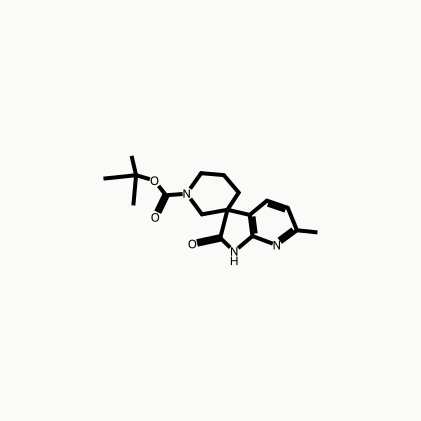 Cc1ccc2c(n1)NC(=O)C21CCCN(C(=O)OC(C)(C)C)C1